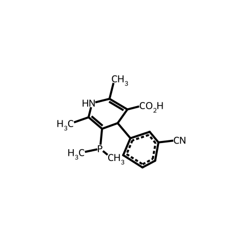 CC1=C(C(=O)O)C(c2cccc(C#N)c2)C(P(C)C)=C(C)N1